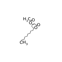 CCCCCCCCCC1CC(OC(C)=O)=CC(=O)O1